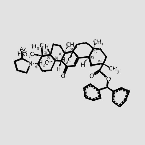 CC(=O)C1CCCN1[C@H]1CC[C@@]2(C)[C@@H](CC[C@]3(C)[C@@H]2C(=O)C=C2[C@@H]4C[C@@](C)(C(=O)OC(c5ccccc5)c5ccccc5)CC[C@]4(C)CC[C@]23C)[C@]1(C)C(=O)O